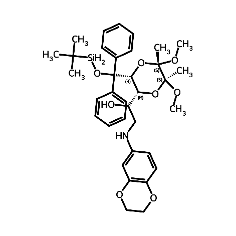 CO[C@@]1(C)O[C@H](C(O)CNc2ccc3c(c2)OCCO3)[C@H](C(O[SiH2]C(C)(C)C)(c2ccccc2)c2ccccc2)O[C@]1(C)OC